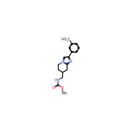 CC(C)(C)OC(=O)NCC1CCn2cc(-c3cccc(C(=O)O)c3)nc2C1